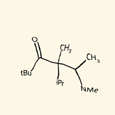 CNC(C)C(C)(C(=O)C(C)(C)C)C(C)C